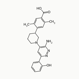 Cc1cc(C2CCCN(c3cc(-c4ccccc4O)nnc3N)C2)c(C)cc1C(=O)O